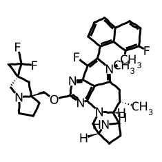 Cc1c(F)ccc2cccc(-c3c(F)c4nc(OC[C@@]56CCCN5C[C@@]5(CC5(F)F)C6)nc5c4c([n+]3C)C[C@H](C)[C@H]3[C@@H]4CC[C@H](CN53)N4)c12